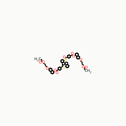 C=CC(=O)OCCCCOc1ccc2c(OC(=O)c3ccc(C(=O)Sc4cccc5c4C46CCc7cccc(c74)SC(c4ccc(C(=O)Oc7cccc8cc(OCCCCOC(=O)C=C)ccc78)cc4)=C5C6)cc3)cccc2c1